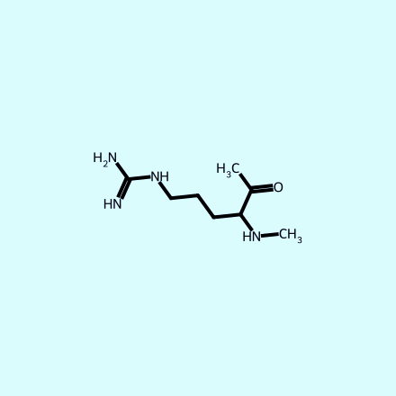 CNC(CCCNC(=N)N)C(C)=O